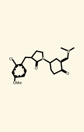 COc1ccc(CC2CCN(C3CCC(=O)C(=CN(C)C)C3)C2=O)c(Cl)c1